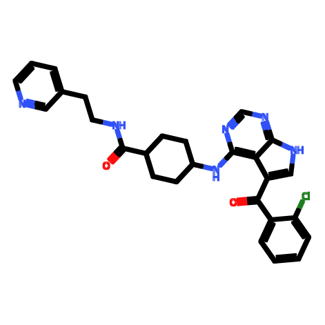 O=C(c1ccccc1Cl)c1c[nH]c2ncnc(NC3CCC(C(=O)NCCc4cccnc4)CC3)c12